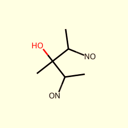 CC(N=O)C(C)(O)C(C)N=O